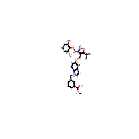 COC(=O)c1cccc(Cn2ccc3cc(OCc4c(COc5c(Br)cccc5Br)noc4C(C)C)ccc32)c1